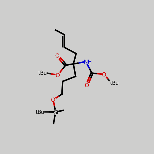 C/C=C/CC(CCCO[Si](C)(C)C(C)(C)C)(NC(=O)OC(C)(C)C)C(=O)OC(C)(C)C